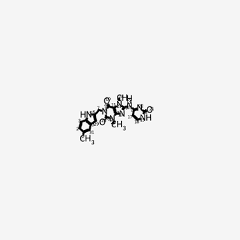 Cc1ccc2[nH]c(Cn3c(=O)c4c(nc(Nc5cc[nH]c(=O)n5)n4C)n(C)c3=O)cc2c1